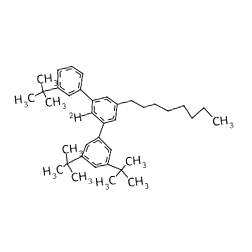 [2H]c1c(-c2cccc(C(C)(C)C)c2)cc(CCCCCCCC)cc1-c1cc(C(C)(C)C)cc(C(C)(C)C)c1